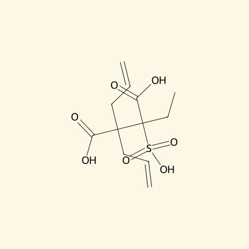 C=CCC(CC=C)(C(=O)O)C(CC)(C(=O)O)S(=O)(=O)O